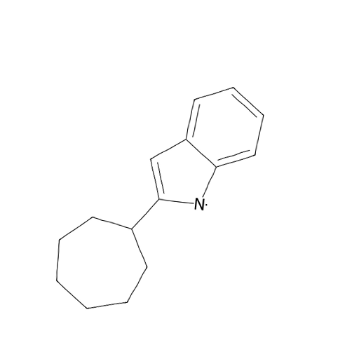 C1=C(C2CCCCCC2)[N]c2ccccc21